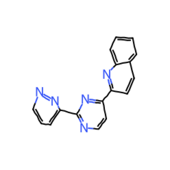 c1cnnc(-c2nccc(-c3ccc4ccccc4n3)n2)c1